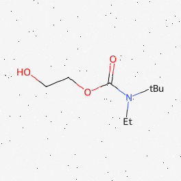 CCN(C(=O)OCCO)C(C)(C)C